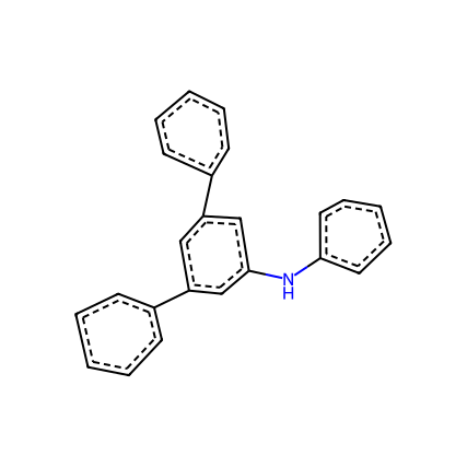 c1ccc(Nc2cc(-c3ccccc3)cc(-c3ccccc3)c2)cc1